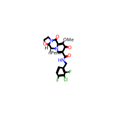 CCCCC[C@H]1[C@@H]2OCCN2C(=O)c2c(OC)c(=O)c(C(=O)NCc3ccc(F)c(Cl)c3F)cn21